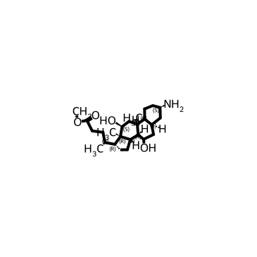 COC(=O)CC[C@@H](C)[C@H]1CC[C@H]2[C@@H]3C(O)C[C@@H]4C[C@@H](N)CC[C@]4(C)[C@H]3C[C@H](O)[C@]12C